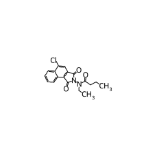 CCCC(=O)N(CC)N1C(=O)c2cc(Cl)c3ccccc3c2C1=O